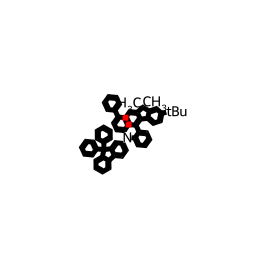 CC(C)(C)c1ccc2c(c1)C(C)(C)c1cccc(-c3ccccc3N(c3ccc(-c4ccccc4)cc3)c3ccc4c(c3)C(c3ccccc3)(c3ccccc3)c3ccccc3-4)c1-2